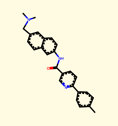 Cc1ccc(-c2ccc(C(=O)Nc3ccc4cc(CN(C)C)ccc4c3)cn2)cc1